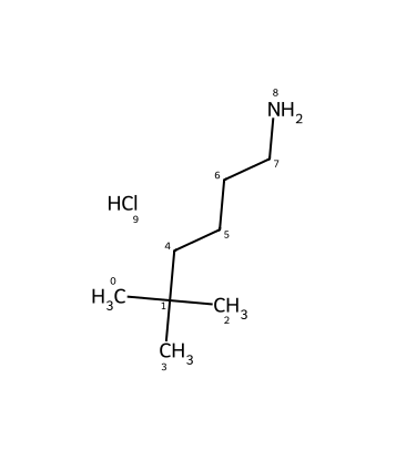 CC(C)(C)CCCCN.Cl